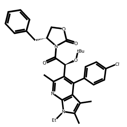 CCn1c(C)c(C)c2c(-c3ccc(Cl)cc3)c([C@H](OC(C)(C)C)C(=O)N3C(=O)OC[C@H]3Cc3ccccc3)c(C)nc21